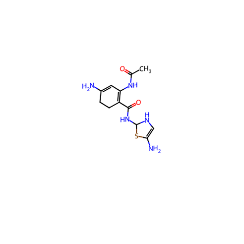 CC(=O)NC1=C(C(=O)NC2NC=C(N)S2)CCC(N)=C1